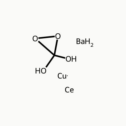 OC1(O)OO1.[BaH2].[Ce].[Cu]